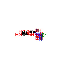 C[C@]12C=CC(O)C=C1CC[C@@H]1[C@@H]2[C@@H](O)C[C@@]2(C)[C@H]1C[C@H]1O[C@@H](c3ccc(Cc4ccc(NC(=O)[C@H](CCC(=O)O)NC(=O)CNC(=O)CBr)c(CO)c4)cc3)O[C@]12C(=O)CO